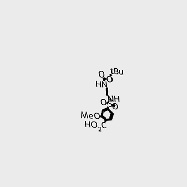 COc1cc(S(=O)(=O)NCCNC(=O)OC(C)(C)C)ccc1C(=O)O